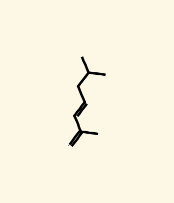 [CH]=C(C)C=CCC(C)C